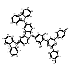 Cc1ccc(-c2cc(-c3c(C)cc(-n4c5ccc(-n6c7ccccc7c7ccccc76)cc5c5cc(-n6c7ccccc7c7ccccc76)ccc54)cc3C)nc(-c3ccc(C)cc3)n2)cc1